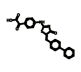 O=C(O)C(=O)c1ccc(NC2=NC(=O)/C(=C\c3ccc(-c4ccccc4)cc3)S2)cc1